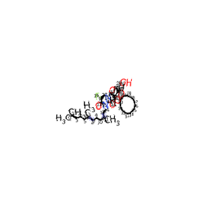 CC(C)=CCC/C(C)=C/CC/C(C)=C/Cn1c(=O)c(F)cn([C@@H]2O[C@H](CO)[C@H]3OC4(CCCCCCCCCCC4)O[C@H]32)c1=O